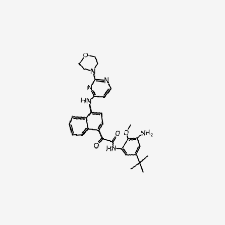 COc1c(N)cc(C(C)(C)C)cc1NC(=O)C(=O)c1ccc(Nc2ccnc(N3CCOCC3)n2)c2ccccc12